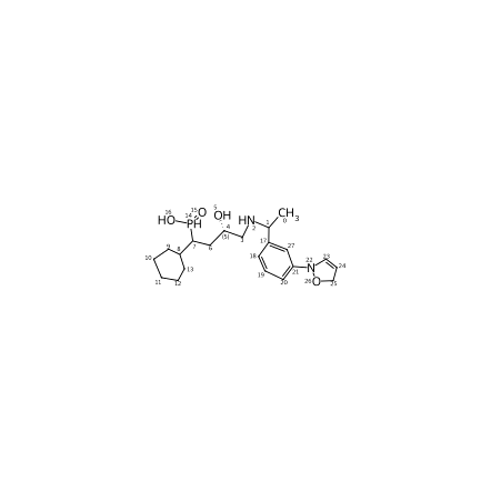 CC(NC[C@@H](O)CC(C1CCCCC1)[PH](=O)O)c1cccc(N2C=CCO2)c1